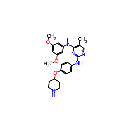 COc1cc(Nc2nc(Nc3ccc(OC4CCNCC4)cc3)ncc2C)cc(OC)c1